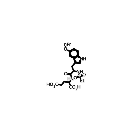 CCCOc1ccc2[nH]cc(CC(NS(=O)(=O)CC)C(=O)NC(CCC(=O)O)C(=O)O)c2c1